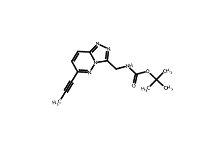 CC#Cc1ccc2nnc(CNC(=O)OC(C)(C)C)n2n1